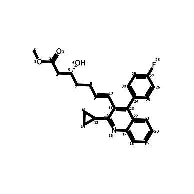 COC(=O)C[C@H](O)CC/C=C/c1c(C2CC2)nc2ccccc2c1-c1ccc(F)cc1